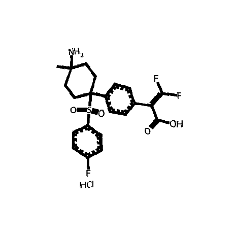 CC1(N)CCC(c2ccc(C(C(=O)O)=C(F)F)cc2)(S(=O)(=O)c2ccc(F)cc2)CC1.Cl